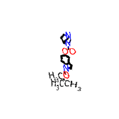 CC(C)(C)OCn1ccc2cc(OC(=O)N3CCN4CCC3CC4)ccc21